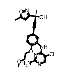 COCCOc1ccc(C#C[C@@](C)(O)c2cc(C)on2)cc1Nc1nc(N)ncc1Cl